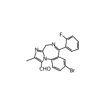 Cc1nc2n(c1C=O)-c1ccc(Br)cc1C(c1ccccc1F)=NC2